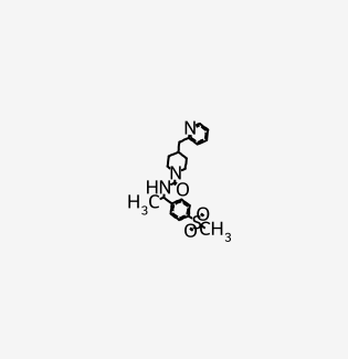 CC(NC(=O)N1CCC(Cc2ccccn2)CC1)c1ccc(S(C)(=O)=O)cc1